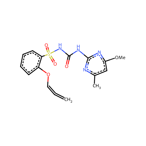 C=C=COc1ccccc1S(=O)(=O)NC(=O)Nc1nc(C)cc(OC)n1